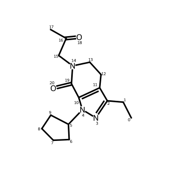 CCc1nn(C2CCCC2)c2c1CCN(CC(C)=O)C2=O